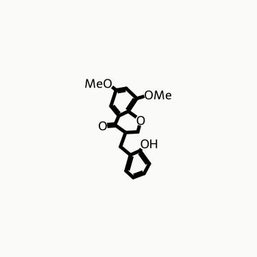 COc1cc(OC)c2c(c1)C(=O)C(Cc1ccccc1O)CO2